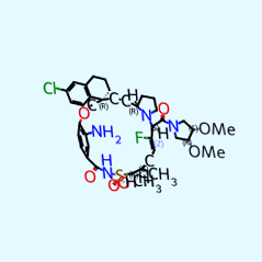 CO[C@H]1CN(C(=O)[C@H]2/C(F)=C/C[C@H](C)[C@@H](C)S(=O)(=O)NC(=O)c3ccc(c(N)c3)OC[C@]3(CCCc4cc(Cl)ccc43)CC[C@@H]3CCCN32)C[C@H]1OC